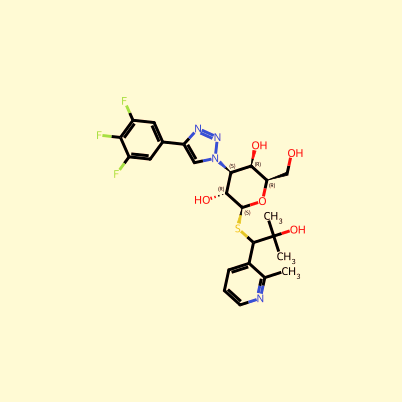 Cc1ncccc1C(S[C@@H]1O[C@H](CO)[C@H](O)[C@H](n2cc(-c3cc(F)c(F)c(F)c3)nn2)[C@H]1O)C(C)(C)O